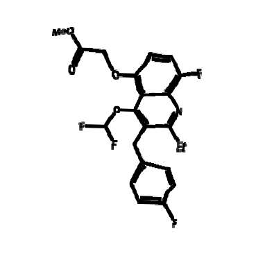 CCc1nc2c(F)ccc(OCC(=O)OC)c2c(OC(F)F)c1Cc1ccc(F)cc1